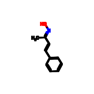 CC(/C=C/c1ccccc1)=N\O